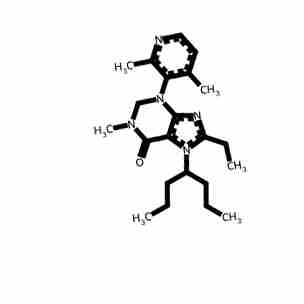 CCCC(CCC)n1c(CC)nc2c1C(=O)N(C)CN2c1c(C)ccnc1C